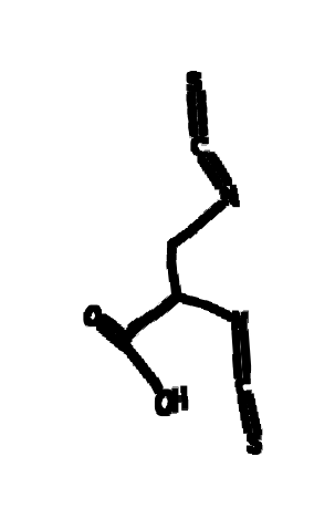 O=C(O)C(CN=C=S)N=C=S